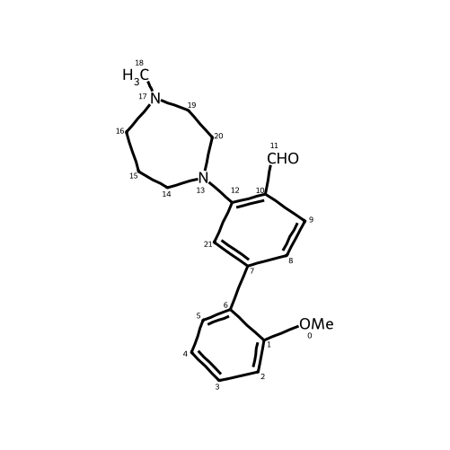 COc1ccccc1-c1ccc(C=O)c(N2CCCN(C)CC2)c1